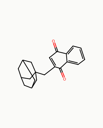 O=C1C=C(CC23CC4CC(CC(C4)C2)C3)C(=O)c2ccccc21